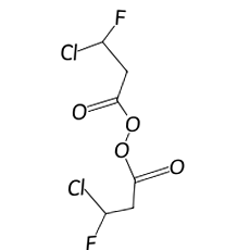 O=C(CC(F)Cl)OOC(=O)CC(F)Cl